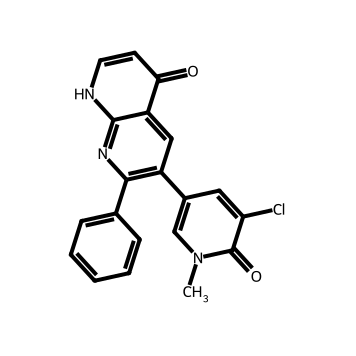 Cn1cc(-c2cc3c(=O)cc[nH]c3nc2-c2ccccc2)cc(Cl)c1=O